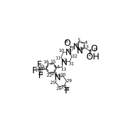 O=C(O)c1ccn(C(=O)N2CCN(Cc3ccc(C(F)(F)F)cc3N3CCC(F)CC3)CC2)n1